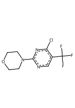 FC(F)(F)c1cnc(N2CCOCC2)nc1Cl